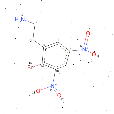 NCCc1cc([N+](=O)[O-])cc([N+](=O)[O-])c1Br